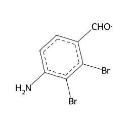 Nc1ccc([C]=O)c(Br)c1Br